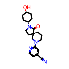 N#Cc1ccnc(N2CCC[C@]3(CCN([C@H]4CC[C@H](O)CC4)C3=O)C2)c1